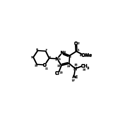 COC(=O)c1nn(C2CCCCO2)c(Cl)c1N(C)C(C)=O